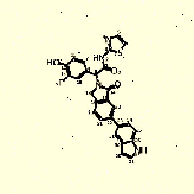 O=C(Nc1nccs1)C(c1ccc(O)c(F)c1)N1Cc2ccc(-c3ccc4[nH]ccc4c3)cc2C1=O